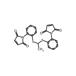 CC(Sc1ccccc1N1C(=O)C=CC1=O)Sc1ccccc1N1C(=O)C=CC1=O